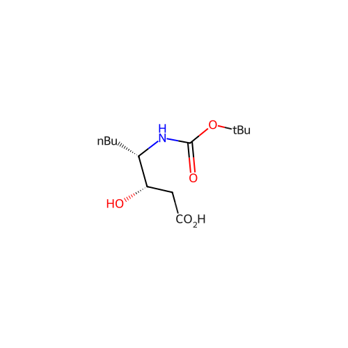 CCCC[C@H](NC(=O)OC(C)(C)C)[C@@H](O)CC(=O)O